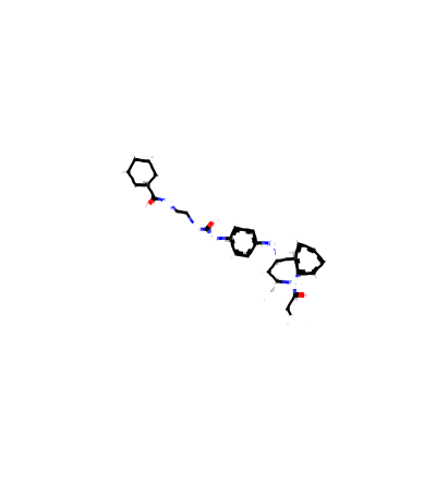 CCC(=O)N1c2ccccc2[C@H](Nc2ccc(NC(=O)NCCNC(=O)C3CCCCC3)cc2)C[C@@H]1C